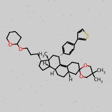 CC1(C)COC2(CCC3=C4[C@@H](CC[C@H]3C2)[C@@H]2CC[C@@H](CCCOC3CCCCO3)[C@]2(C)C[C@@H]4c2ccc(-c3ccsc3)cc2)OC1